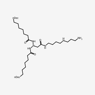 CCCCCCCCCCCCCCCCC(=O)NN(CC(=O)NCCCCNCCCN)NC(=O)CCCCCCCCCCCCCCCC